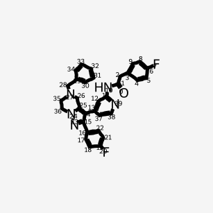 O=C(Cc1ccc(F)cc1)Nc1cc(-c2c(-c3ccc(F)cc3)nn3c2CN(Cc2ccccc2)CC3)ccn1